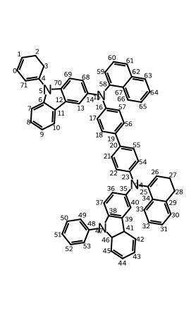 C1=CCCC(n2c3ccccc3c3cc(N(c4ccc(-c5ccc(N(C6=CCCc7ccccc76)c6ccc7c(c6)C6C=CC=CC6N7c6ccccc6)cc5)cc4)c4cccc5ccccc45)ccc32)=C1